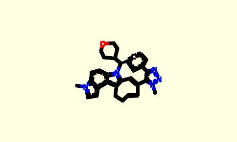 Cc1nnn(C)c1C1=C/c2c(c3c4ccn(C)c4ccc3n2[C@H](c2ccccc2)C2CCOCC2)CC\C=C\1